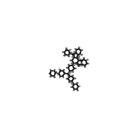 c1ccc(-c2ccc(N(c3ccc(-c4ccccc4)cc3)c3ccc(-c4cc5c(c6ccccc6n5-c5ccccc5)c5c4oc4ccccc45)cc3)cc2)cc1